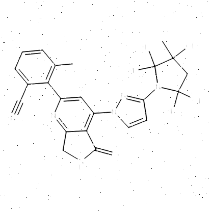 [2H]C1([2H])CC(C)(O)C([2H])([2H])N1c1ccn(-c2cc(-c3c(F)cccc3C#N)nc3c2C(=O)NC3)n1